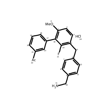 COc1ccc(Cc2ccc(CN)cc2)c(F)c1-c1cccc(C(C)=O)c1.Cl